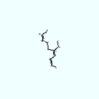 C/C=C\C=C(\CC)CC/N=C\C